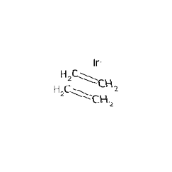 C=C.C=C.[Ir]